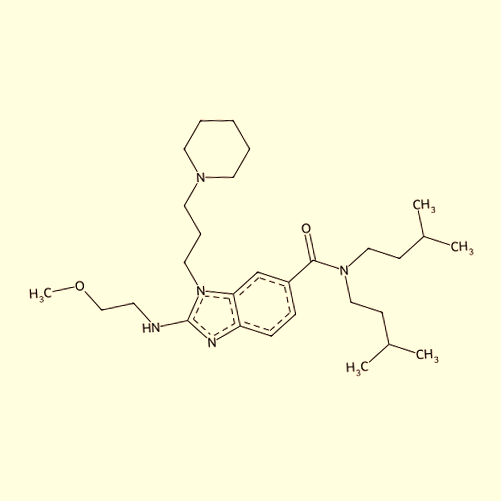 COCCNc1nc2ccc(C(=O)N(CCC(C)C)CCC(C)C)cc2n1CCCN1CCCCC1